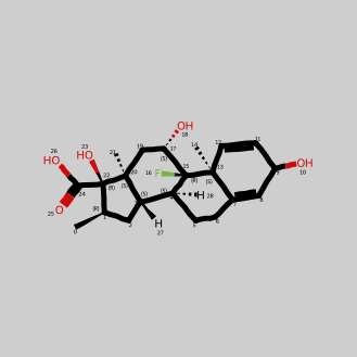 C[C@@H]1C[C@H]2[C@@H]3CCC4=CC(O)C=C[C@]4(C)[C@@]3(F)[C@@H](O)C[C@]2(C)[C@@]1(O)C(=O)O